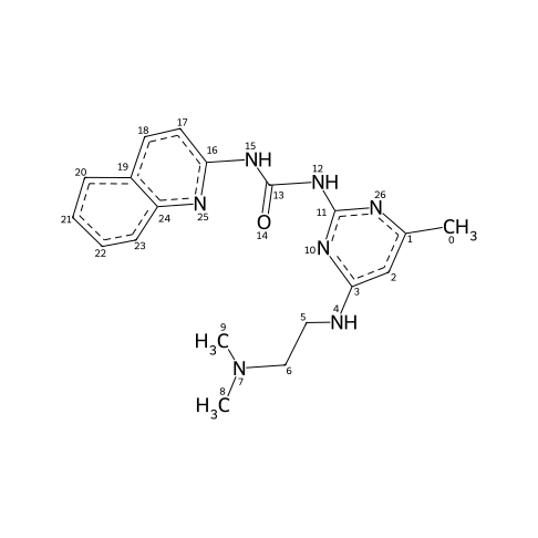 Cc1cc(NCCN(C)C)nc(NC(=O)Nc2ccc3ccccc3n2)n1